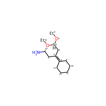 CCO[SiH](CC(CCN)=C1CCCCC1)OCC